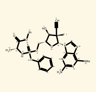 C#C[C@@]1(F)[C@H](O)[C@@H](COP(=S)(N[C@H](C)C(=O)OC(C)C)Oc2ccccc2)O[C@H]1n1cnc2c(NC)nc(N)nc21